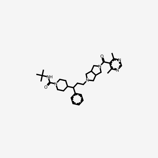 Cc1ncnc(C)c1C(=O)N1CC2CN(CCC(c3ccccc3)C3CCN(C(=O)NC(C)(C)C)CC3)CC2C1